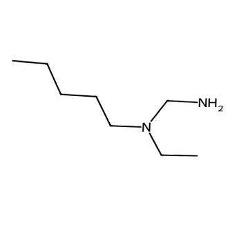 CCCCCN(CC)CN